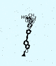 C[C@@H](NS(=O)(=O)N1CCN(c2ccc(C#Cc3ccc4cc(OCC5CC5)ccc4c3)cc2)CC1)C(=O)O